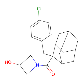 O=C(N1CC(O)C1)C1(Cc2ccc(Cl)cc2)C2CC3CC(C2)CC1C3